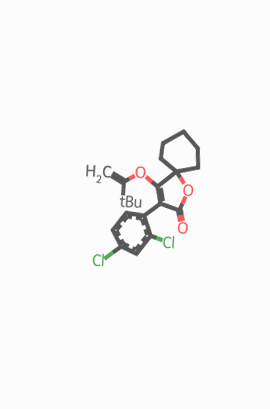 C=C(OC1=C(c2ccc(Cl)cc2Cl)C(=O)OC12CCCCC2)C(C)(C)C